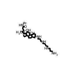 CC(C)NC(=O)CC[C@@H](C)[C@H]1CCC2C3CCC4C[C@@H](NCCCNCCCCNCCCN)CC[C@]4(C)C3C[C@H](O)[C@@]21C